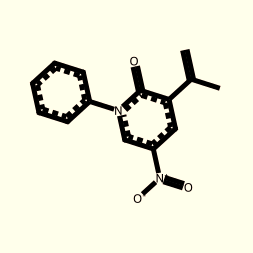 C=C(C)c1cc([N+](=O)[O-])cn(-c2ccccc2)c1=O